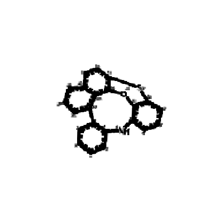 c1ccc2c(c1)Nc1cccc3c1Oc1c(ccc4cccc-2c14)S3